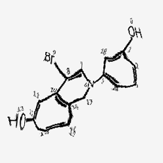 Oc1cccc(N2C=C(Br)c3cc(O)ccc3C2)c1